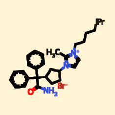 Cc1n([C@H]2CC[C@@H](C(C(N)=O)(c3ccccc3)c3ccccc3)C2)cc[n+]1CCCCC(C)C.[Br-]